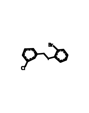 Clc1cccc(C[CH]c2ccccc2Br)c1